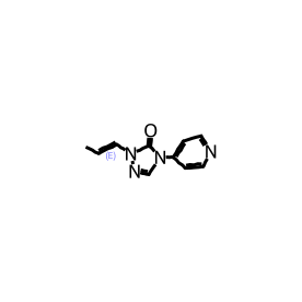 C/C=C/n1ncn(-c2ccncc2)c1=O